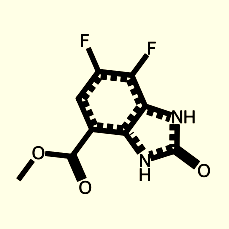 COC(=O)c1cc(F)c(F)c2[nH]c(=O)[nH]c12